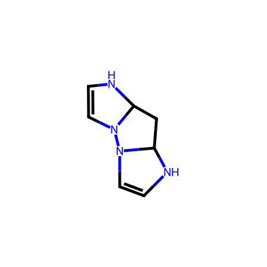 C1=CN2C(CC3NC=CN32)N1